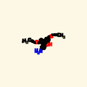 CC#CCOCc1ccc(C(O)(c2ccc(N)cc2)c2cccc(COCC#CC)c2)cc1